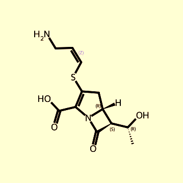 C[C@@H](O)[C@H]1C(=O)N2C(C(=O)O)=C(S/C=C\CN)C[C@H]12